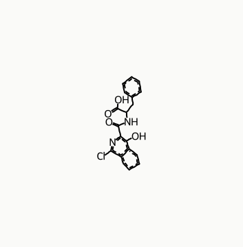 O=C(NC(Cc1ccccc1)C(=O)O)c1nc(Cl)c2ccccc2c1O